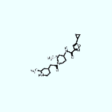 CC1CC(CC(=O)N2CCC(NC(=O)c3cc(C4CC4)on3)C[C@H]2C)CCN1